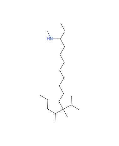 CCCC(C)C(C)(CCCCCCCCC(CC)NC)C(C)C